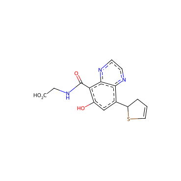 O=C(O)CNC(=O)c1c(O)cc(C2CC=CS2)c2nccnc12